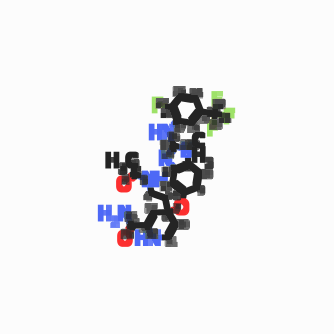 CC(=O)NCCC1(Oc2ccc3c(c2)nc(Nc2cc(C(F)(F)F)ccc2F)n3C)C=CNC(C(N)=O)=C1